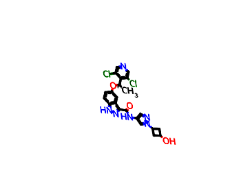 C[C@@H](Oc1ccc2[nH]nc(C(=O)Nc3cnn(C4CC(O)C4)c3)c2c1)c1c(Cl)cncc1Cl